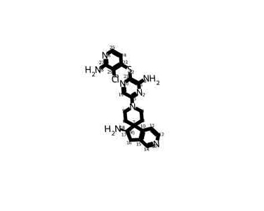 Nc1nc(N2CCC3(CC2)c2ccncc2C[C@H]3N)cnc1Sc1ccnc(N)c1Cl